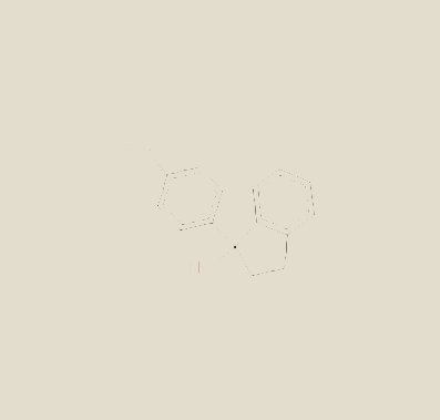 Oc1ccc(C2(O)CCc3ccccc32)cc1